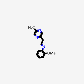 COc1ccccc1N=CCc1cnc(C)cn1